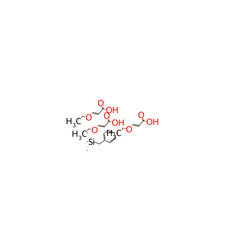 CCOC=CC(=O)O.CCOC=CC(=O)O.CCOC=CC(=O)O.[Si]Cc1ccccc1